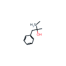 C[SiH2]C(C)(O)Cc1ccccc1